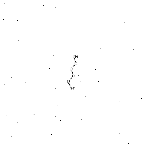 CCCOOOOO